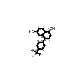 Oc1ccc2c(O)ccc(-c3ccc(C(F)(F)F)cc3)c2c1